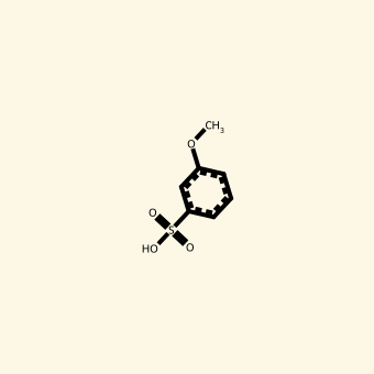 COc1cccc(S(=O)(=O)O)c1